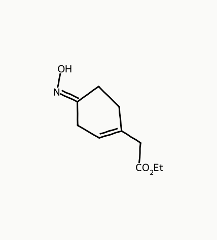 CCOC(=O)CC1=CCC(=NO)CC1